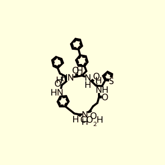 O=C1CCC(=O)N[C@H](Cc2cccs2)C(=O)N[C@@H](Cc2ccc(-c3ccccc3)cc2)C(=O)N[C@H](CCc2ccccc2)C(=O)Nc2ccc(cc2)C[C@@H](C(=O)O)N1